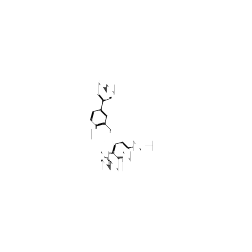 Cn1cc(-c2ccc(F)c(COc3cc(N)nc4[nH]nnc34)c2)cn1